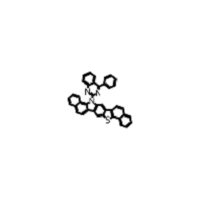 c1ccc(-c2nc(-n3c4cc5c(cc4c4ccc6ccccc6c43)sc3c4ccccc4ccc53)nc3ccccc23)cc1